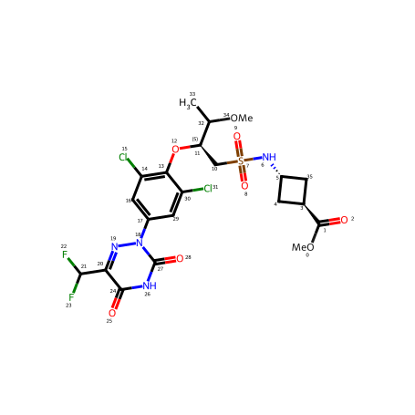 COC(=O)[C@H]1C[C@H](NS(=O)(=O)C[C@@H](Oc2c(Cl)cc(-n3nc(C(F)F)c(=O)[nH]c3=O)cc2Cl)C(C)OC)C1